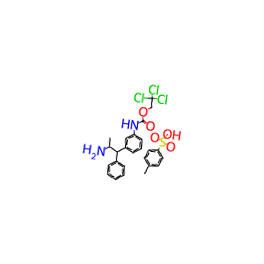 CC(N)C(c1ccccc1)c1cccc(NC(=O)OCC(Cl)(Cl)Cl)c1.Cc1ccc(S(=O)(=O)O)cc1